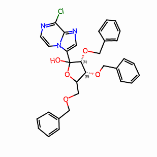 OC1(c2cnc3c(Cl)nccn23)OC(COCc2ccccc2)[C@@H](OCc2ccccc2)[C@H]1OCc1ccccc1